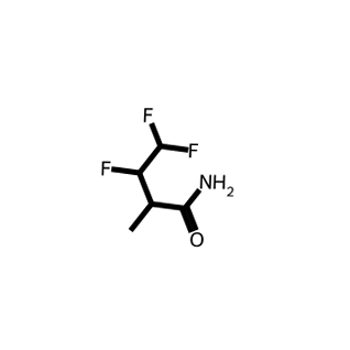 CC(C(N)=O)C(F)C(F)F